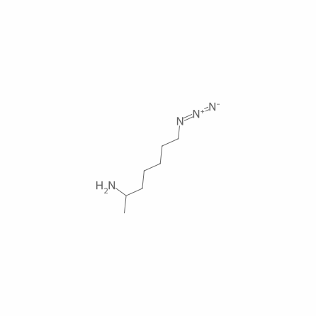 CC(N)CCCCCN=[N+]=[N-]